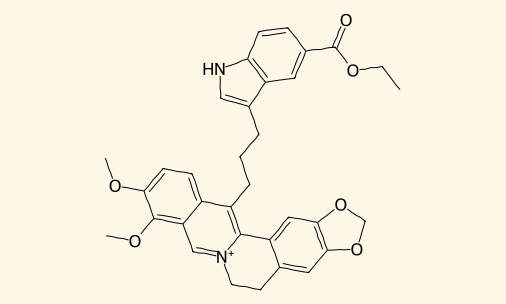 CCOC(=O)c1ccc2[nH]cc(CCCc3c4[n+](cc5c(OC)c(OC)ccc35)CCc3cc5c(cc3-4)OCO5)c2c1